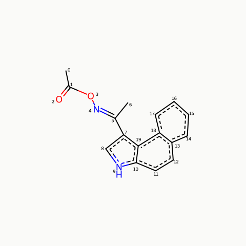 CC(=O)O/N=C(\C)c1c[nH]c2ccc3ccccc3c12